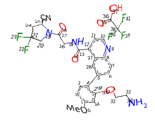 COc1ccc(-c2ccc3nccc(C(=O)NCC(=O)N4CC(F)(F)C[C@H]4C#N)c3c2)c(OCCN)c1.O=C(O)C(F)(F)F